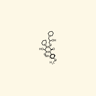 COc1ccc(NC(=O)NOCC(O)CN2CCCCC2)cc1.NOCC(O)CN1CCCCC1